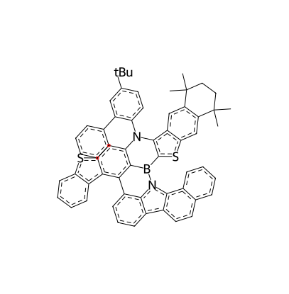 CC(C)(C)c1ccc(N2c3cc4sc5ccccc5c4c4c3B(c3sc5cc6c(cc5c32)C(C)(C)CCC6(C)C)n2c3c-4cccc3c3ccc4ccccc4c32)c(-c2ccccc2)c1